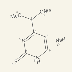 COC(OC)c1cc[nH]c(=S)n1.[NaH]